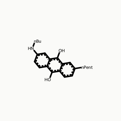 CCCCCc1ccc2c(O)c3ccc(NCCCC)cc3c(O)c2c1